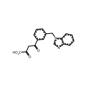 O=C(O)C(=O)CC(=O)c1cccc(Cn2cnc3ccccc32)c1